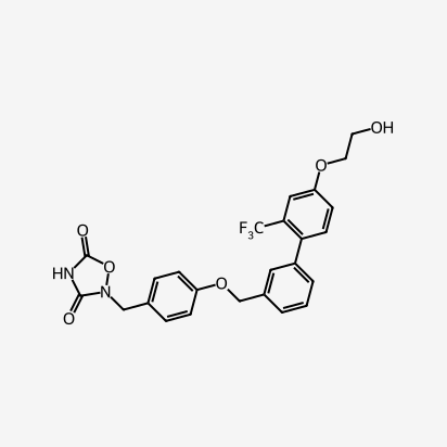 O=c1[nH]c(=O)n(Cc2ccc(OCc3cccc(-c4ccc(OCCO)cc4C(F)(F)F)c3)cc2)o1